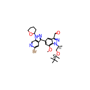 COc1cc(-c2nn(C3CCCCO3)c3cnc(Br)cc23)cc2c(C=O)nn([C@@H](C)CO[Si](C)(C)C(C)(C)C)c12